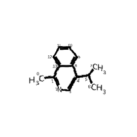 Cc1ncc(C(C)C)c2ccccc12